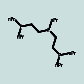 CCCP(CCC)CCP(CCC)CCP(CCC)CCC